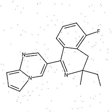 CCC1(C)Cc2c(F)cccc2C(c2cnc3cccn3c2)=N1